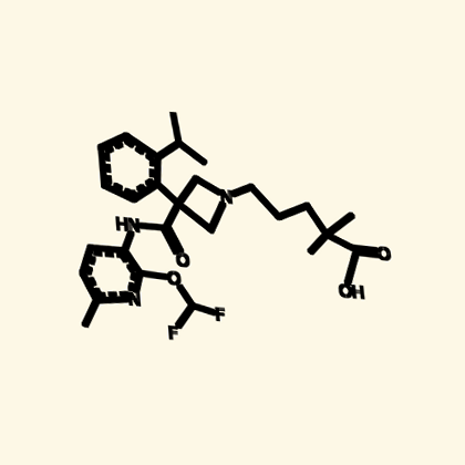 Cc1ccc(NC(=O)C2(c3ccccc3C(C)C)CN(CCCC(C)(C)C(=O)O)C2)c(OC(F)F)n1